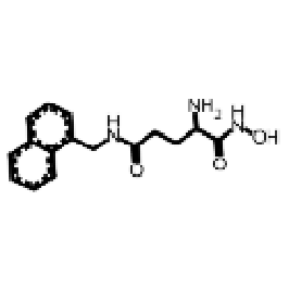 NC(CCC(=O)NCc1cccc2ccccc12)C(=O)NO